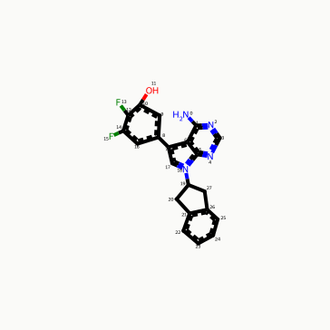 Nc1ncnc2c1c(-c1cc(O)c(F)c(F)c1)cn2C1Cc2ccccc2C1